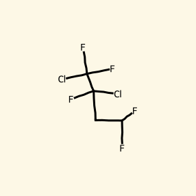 FC(F)CC(F)(Cl)C(F)(F)Cl